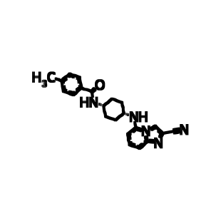 Cc1ccc(C(=O)N[C@H]2CC[C@@H](Nc3cccc4nc(C#N)cn34)CC2)cc1